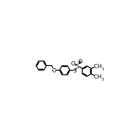 Cc1ccc(S(=O)(=O)Sc2ccc(OCc3ccccc3)cc2)cc1C